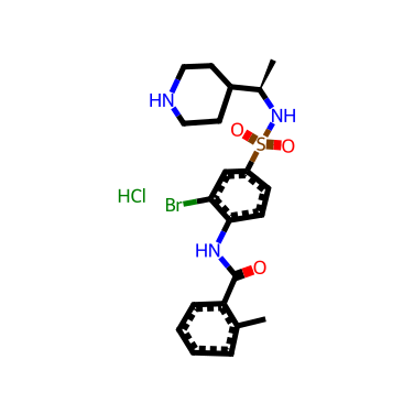 Cc1ccccc1C(=O)Nc1ccc(S(=O)(=O)N[C@H](C)C2CCNCC2)cc1Br.Cl